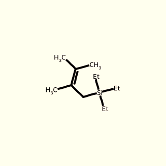 CC[Si](CC)(CC)CC(C)=C(C)C